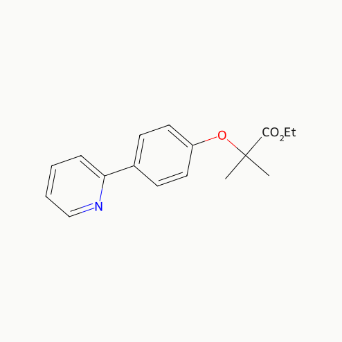 CCOC(=O)C(C)(C)Oc1ccc(-c2ccccn2)cc1